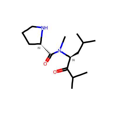 CC(C)C[C@@H](C(=O)C(C)C)N(C)C(=O)[C@@H]1CCCN1